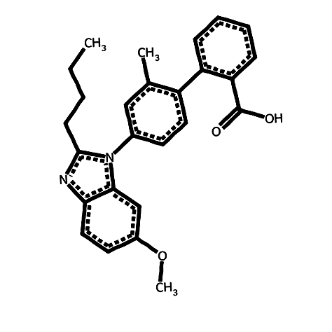 CCCCc1nc2ccc(OC)cc2n1-c1ccc(-c2ccccc2C(=O)O)c(C)c1